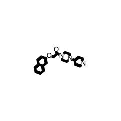 O=C(COc1ccc2ccccc2c1)N1CCN(c2ccncc2)CC1